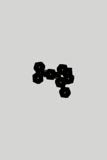 c1ccc(-c2ccc(N(c3ccc(-n4c5ccccc5c5ccccc54)cc3)c3cccc4sc5ccccc5c34)cc2)cc1